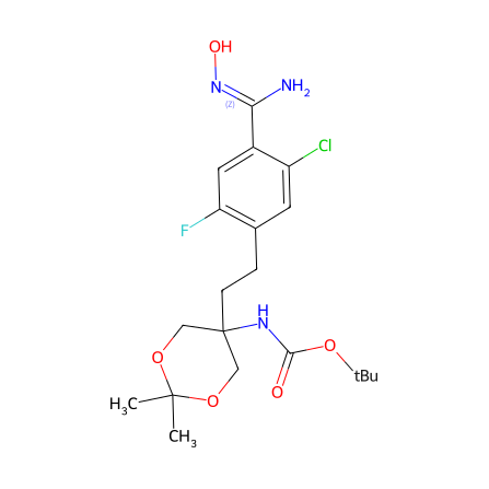 CC(C)(C)OC(=O)NC1(CCc2cc(Cl)c(/C(N)=N/O)cc2F)COC(C)(C)OC1